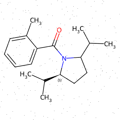 Cc1ccccc1C(=O)N1C(C(C)C)CC[C@H]1C(C)C